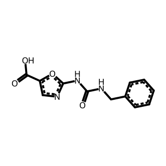 O=C(NCc1ccccc1)Nc1ncc(C(=O)O)o1